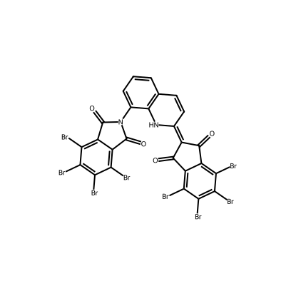 O=C1C(=C2C=Cc3cccc(N4C(=O)c5c(Br)c(Br)c(Br)c(Br)c5C4=O)c3N2)C(=O)c2c(Br)c(Br)c(Br)c(Br)c21